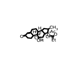 CCC(=O)O[C@]1(C(C)=O)C(C)C[C@H]2[C@@H]3CCC4=CC(=O)CC[C@]4(C)[C@@]3(F)C(O)C[C@@]21C